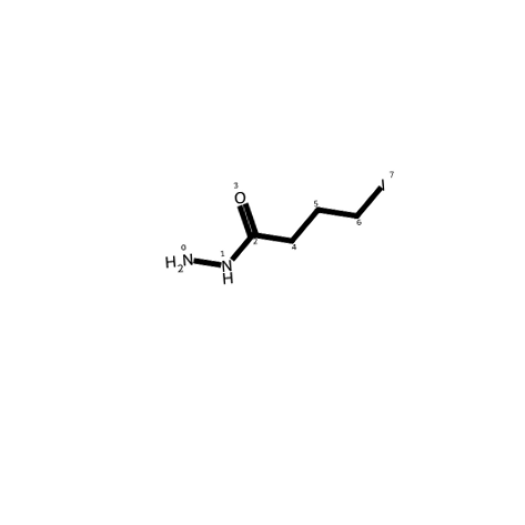 NNC(=O)CCCI